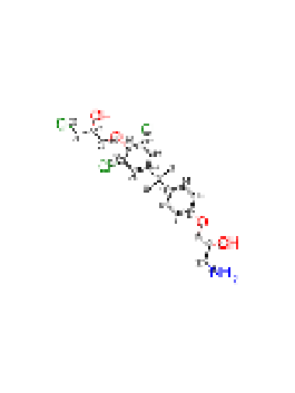 CC(C)(c1ccc(OC[C@H](O)CN)cc1)c1cc(Cl)c(OC[C@H](O)CCl)c(Cl)c1